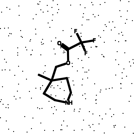 CC1(COC(=O)C(F)(F)F)CCNCC1